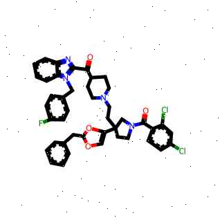 O=C(c1nc2ccccc2n1Cc1ccc(F)cc1)C1CCN(CCC2(C3=COC(Cc4ccccc4)O3)CCN(C(=O)c3ccc(Cl)cc3Cl)C2)CC1